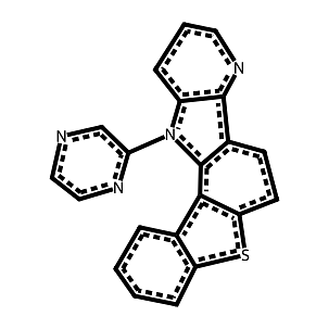 c1ccc2c(c1)sc1ccc3c4ncccc4n(-c4cnccn4)c3c12